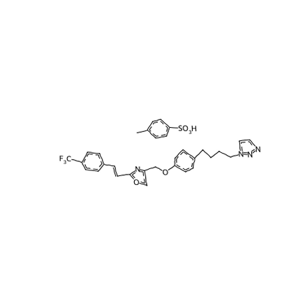 Cc1ccc(S(=O)(=O)O)cc1.FC(F)(F)c1ccc(C=Cc2nc(COc3ccc(CCCCn4ccnn4)cc3)co2)cc1